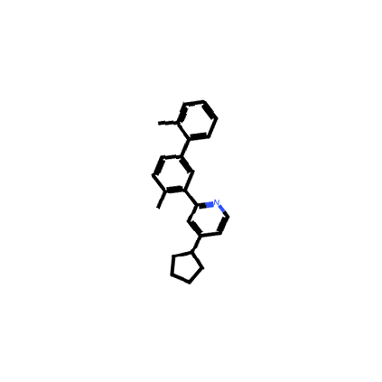 Cc1ccccc1-c1ccc(C)c(-c2cc(C3CCCC3)ccn2)c1